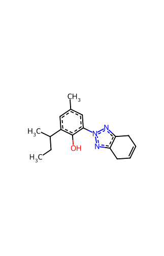 CCC(C)c1cc(C)cc(-n2nc3c(n2)CC=CC3)c1O